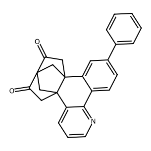 O=C1CC23CC14CC2(CC4=O)c1cccnc1-c1ccc(-c2ccccc2)cc13